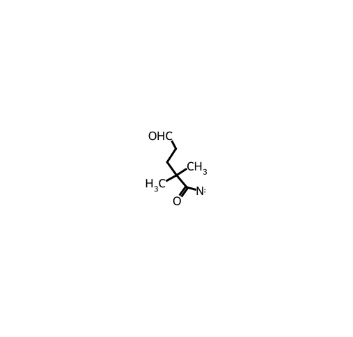 CC(C)(CCC=O)C([N])=O